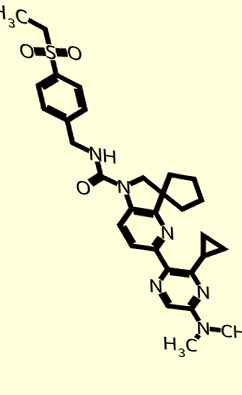 CCS(=O)(=O)c1ccc(CNC(=O)N2CC3(CCCC3)c3nc(-c4ncc(N(C)C)nc4C4CC4)ccc32)cc1